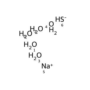 O.O.O.O.O.[Na+].[SH-]